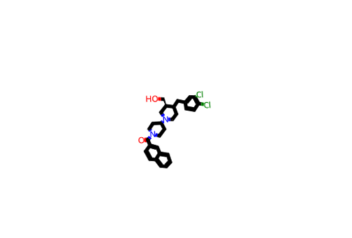 O=C(c1ccc2ccccc2c1)N1CCC(N2CCC(Cc3ccc(Cl)c(Cl)c3)[C@H](CO)C2)CC1